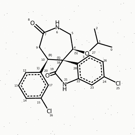 CC(C)O[C@@H]1CNC(=O)C[C@H](c2cccc(Cl)c2)[C@@]12C(=O)Nc1cc(Cl)ccc12